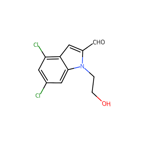 O=Cc1cc2c(Cl)cc(Cl)cc2n1CCO